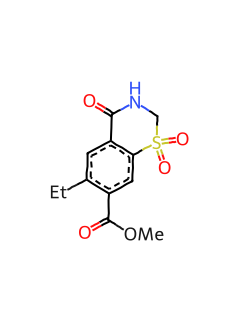 CCc1cc2c(cc1C(=O)OC)S(=O)(=O)CNC2=O